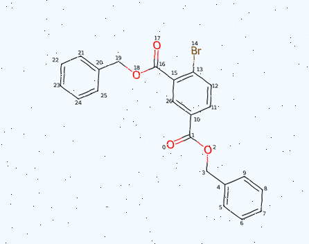 O=C(OCc1ccccc1)c1ccc(Br)c(C(=O)OCc2ccccc2)c1